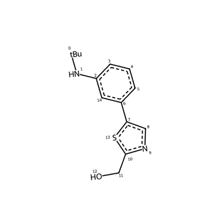 CC(C)(C)Nc1cccc(-c2cnc(CO)s2)c1